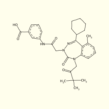 Cc1cccc2c1C(C1CCCCC1)=NN(CC(=O)Nc1cccc(C(=O)O)c1)C(=O)N2CC(=O)C(C)(C)C